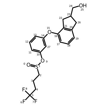 O=S(CCCC(F)(F)F)Oc1cccc(Oc2cccc3c2CC(CO)C3)c1